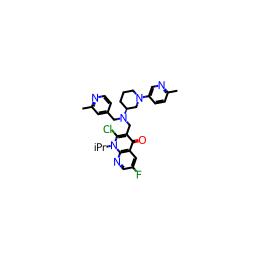 Cc1ccc(N2CCC[C@H](N(Cc3ccnc(C)c3)Cc3c(Cl)n(C(C)C)c4ncc(F)cc4c3=O)C2)cn1